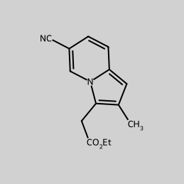 CCOC(=O)Cc1c(C)cc2ccc(C#N)cn12